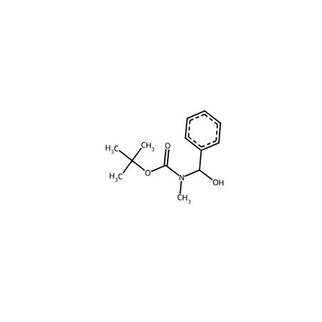 CN(C(=O)OC(C)(C)C)C(O)c1ccccc1